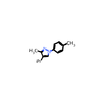 Cc1ccc(-n2cc(C(C)C)c(C)n2)cc1